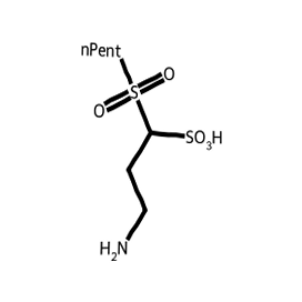 CCCCCS(=O)(=O)C(CCN)S(=O)(=O)O